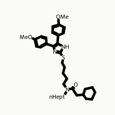 CCCCCCCN(CCCCCSc1nc(-c2ccc(OC)cc2)c(-c2ccc(OC)cc2)[nH]1)C(=O)CC1CCCCC1